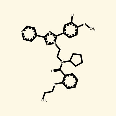 CCCOc1ccccc1C(=O)N(CCn1nc(-c2ccncc2)nc1-c1ccc(OC)c(Cl)c1)C1CCCC1